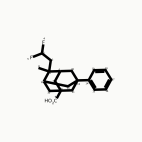 CC1(CC(F)F)C2CC3(C(=O)O)CC1CC(c1ccccc1)(C2)C3